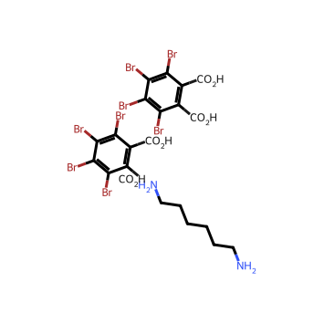 NCCCCCCN.O=C(O)c1c(Br)c(Br)c(Br)c(Br)c1C(=O)O.O=C(O)c1c(Br)c(Br)c(Br)c(Br)c1C(=O)O